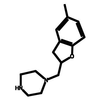 Cc1ccc2c(c1)CC(CN1CCNCC1)O2